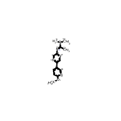 COc1ccc(-c2cnc(/N=C(\C)N(C)C)cn2)cn1